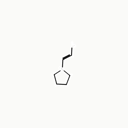 [CH2]C(C)C=CN1CCCC1